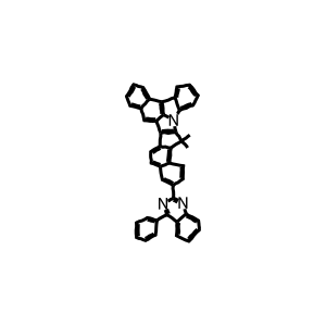 CC1(C)c2c(ccc3cc(-c4nc(-c5ccccc5)c5ccccc5n4)ccc23)-c2c1n1c3ccccc3c3c4ccccc4cc2c31